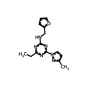 CCc1nc(NCc2ccco2)nc(-n2ccc(C)n2)n1